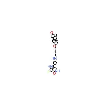 CC12CC[C@H]3C(CC[C@H]4CC(=O)CCC43C)[C@@H]1CCC2OCCCCCCCNCc1ccc(-c2[nH]c3cc(F)cc4c3c2CCNC4=O)cc1